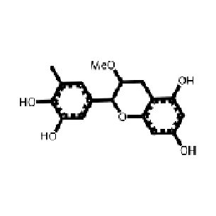 COC1Cc2c(O)cc(O)cc2OC1c1cc(C)c(O)c(O)c1